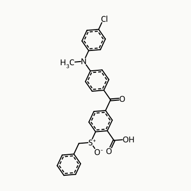 CN(c1ccc(Cl)cc1)c1ccc(C(=O)c2ccc([S+]([O-])Cc3ccccc3)c(C(=O)O)c2)cc1